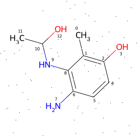 Cc1c(O)ccc(N)c1NC(C)O